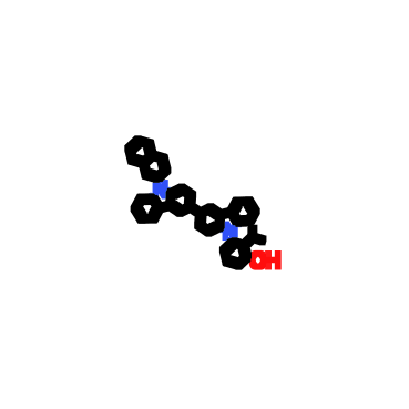 CC(C)c1c(O)cccc1-n1c2ccccc2c2cc(-c3ccc4c(c3)c3ccccc3n4-c3ccc4ccccc4c3)ccc21